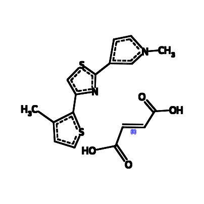 Cc1ccsc1-c1csc(-c2ccn(C)c2)n1.O=C(O)/C=C/C(=O)O